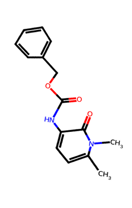 Cc1ccc(NC(=O)OCc2ccccc2)c(=O)n1C